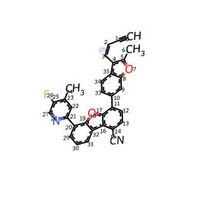 C#C/C=C\c1c(C)oc2cc(-c3ccc(C#N)c4c3oc3c(-c5cc(C)c(F)cn5)cccc34)ccc12